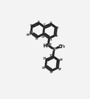 [O-][S+](Nc1cccc2ccncc12)c1ccccc1